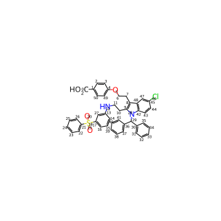 O=C(O)c1ccc(OCCc2c(CCNc3cccc(S(=O)(=O)c4ccccc4)c3)n(C(c3ccccc3)c3ccccc3)c3ccc(Cl)cc23)cc1